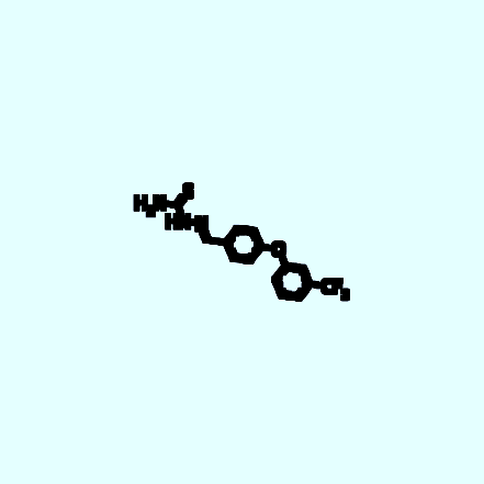 NC(=S)N/N=C/c1ccc(Oc2cccc(C(F)(F)F)c2)cc1